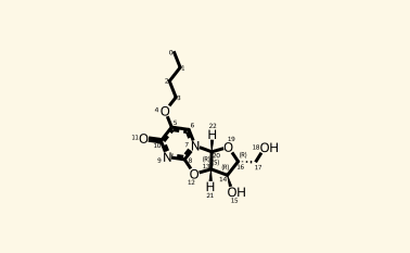 CCCCOc1cn2c(nc1=O)O[C@H]1[C@H](O)[C@@H](CO)O[C@H]12